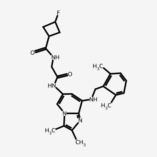 Cc1cccc(C)c1CNc1cc(NC(=O)CNC(=O)C2CC(F)C2)cn2c(C)c(C)nc12